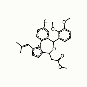 COC(=O)CC1OC(c2cccc(OC)c2OC)c2cc(Cl)ccc2-n2c(C=C(C)C)ccc21